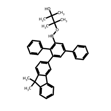 CC1(C)c2ccccc2-c2cc(-c3cc(-c4ccccc4)cc(BOC(C)(C)C(C)(C)O)c3-c3ccccc3)ccc21